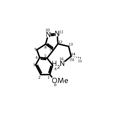 COc1ccc2c(c1)C1=C(C2)N=NC1C[C@H](C)N